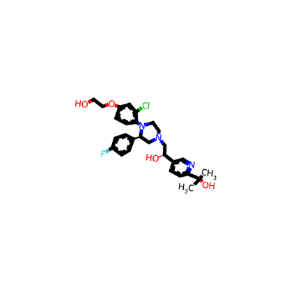 CC(C)(O)c1ccc([C@H](O)CN2CCN(c3ccc(OCCO)cc3Cl)[C@H](c3ccc(F)cc3)C2)cn1